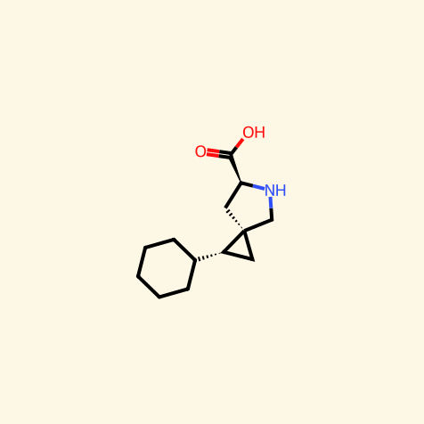 O=C(O)[C@@H]1C[C@]2(CN1)C[C@@H]2C1CCCCC1